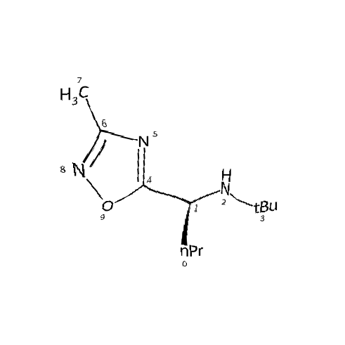 CCC[C@H](NC(C)(C)C)c1nc(C)no1